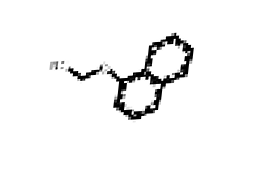 N#C[CH]Oc1cccc2ccccc12